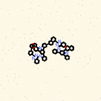 c1ccc(-c2cccc(-c3nc(-n4c5ccccc5c5cc6c7cc(-c8ccc9c(-c%10nc(-n%11c%12ccccc%12c%12cc%13c%14ccccc%14n%14c%15c%16ccccc%16ccc%15c(c%12%11)c%13%14)c%11ccccc%11n%10)cccc9c8)ccc7n7c8c9ccccc9ccc8c(c54)c67)c4ccccc4n3)c2)cc1